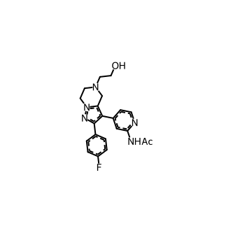 CC(=O)Nc1cc(-c2c(-c3ccc(F)cc3)nn3c2CN(CCO)CC3)ccn1